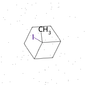 CC1(I)C2CCCC1C2